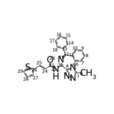 Cc1nnc2n1-c1ccccc1C(c1ccccc1)=NC2NC(=O)C=Cc1cccs1